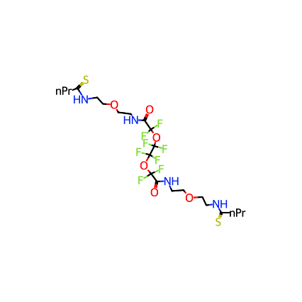 CCCC(=S)NCCOCCNC(=O)C(F)(F)OC(F)(F)C(F)(F)OC(F)(F)C(=O)NCCOCCNC(=S)CCC